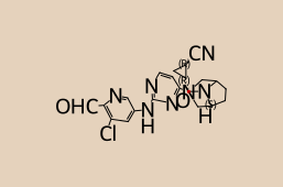 N#C[C@@H]1C[C@H]1C(=O)N1C2CC[C@H]1CN(c1ccnc(Nc3cnc(C=O)c(Cl)c3)n1)C2